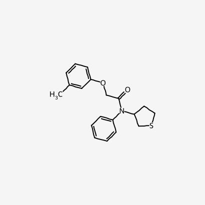 Cc1cccc(OCC(=O)N(c2ccccc2)C2CCSC2)c1